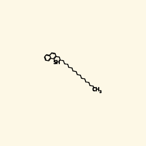 CCCCCCCCCCCCCCCCCCc1ccc2ccccc2c1S